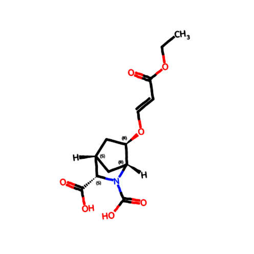 CCOC(=O)C=CO[C@@H]1C[C@@H]2C[C@H]1N(C(=O)O)[C@@H]2C(=O)O